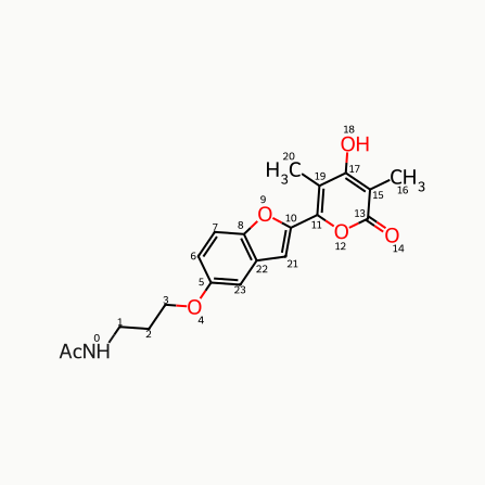 CC(=O)NCCCOc1ccc2oc(-c3oc(=O)c(C)c(O)c3C)cc2c1